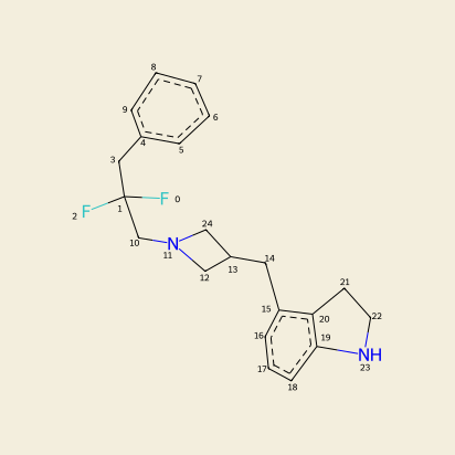 FC(F)(Cc1ccccc1)CN1CC(Cc2cccc3c2CCN3)C1